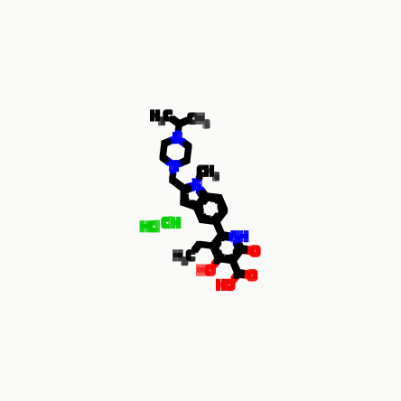 CCc1c(-c2ccc3c(c2)cc(CN2CCN(C(C)C)CC2)n3C)[nH]c(=O)c(C(=O)O)c1O.Cl.Cl